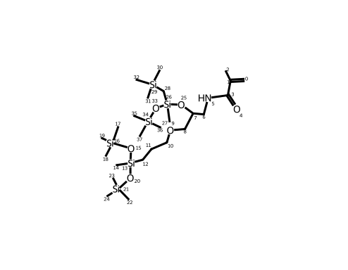 C=C(C)C(=O)NCC(COCCC[Si](C)(O[Si](C)(C)C)O[Si](C)(C)C)O[Si](C)(C[Si](C)(C)C)O[Si](C)(C)C